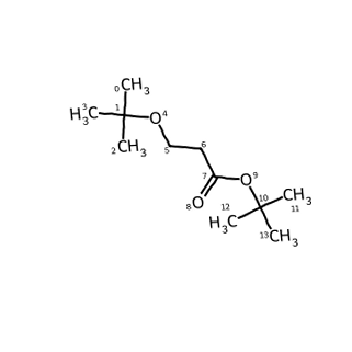 CC(C)(C)OCCC(=O)OC(C)(C)C